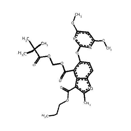 CCCOC(=O)c1c(C)oc2ccc(Oc3nc(OC)cc(OC)n3)c(C(=O)OCOC(=O)C(C)(C)C)c12